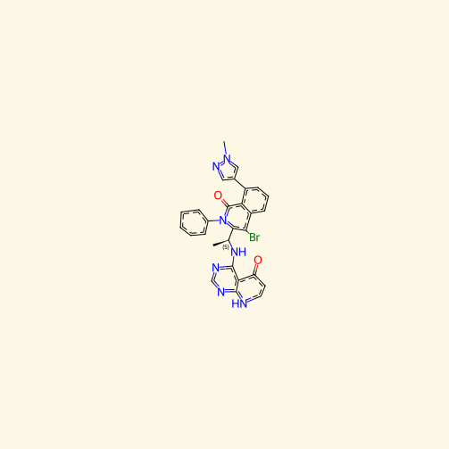 C[C@H](Nc1ncnc2[nH]ccc(=O)c12)c1c(Br)c2cccc(-c3cnn(C)c3)c2c(=O)n1-c1ccccc1